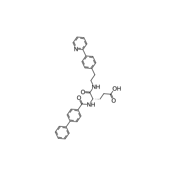 O=C(O)CC[C@H](NC(=O)c1ccc(-c2ccccc2)cc1)C(=O)NCCc1ccc(-c2ccccn2)cc1